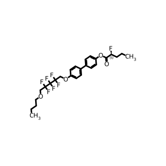 CCCCOCC(F)(F)C(F)(F)C(F)(F)COc1ccc(-c2ccc(OC(=O)[C@@H](F)CCC)cc2)cc1